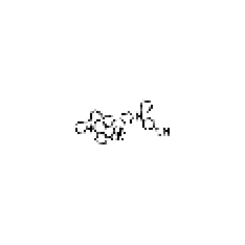 N#Cc1ccc2c(c1)c1ccccc1n2-c1ccc(-c2cccc(-c3c(C#N)cccc3-n3c4ccccc4c4ccccc43)c2C#N)cc1